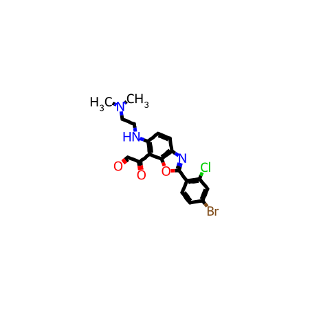 CN(C)CCNc1ccc2nc(-c3ccc(Br)cc3Cl)oc2c1C(=O)C=O